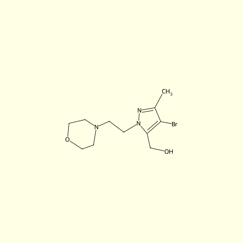 Cc1nn(CCN2CCOCC2)c(CO)c1Br